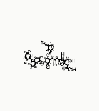 N#Cc1cncc(COc2cc(O[C@H]3CCc4c(-c5ccccc5F)cccc43)c(Cl)cc2CNCC(=O)N[C@@H](CO)C(=O)CC(=O)O)c1